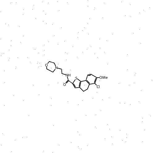 COc1ccc2c(c1Cl)CCc1cc(C(=O)NCCN3CCOCC3)sc1-2